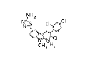 Cn1c(=O)c(-c2ccc(Cl)cc2Cl)cc2c3cc(-c4nnc(N)s4)ccc3n(C)c21